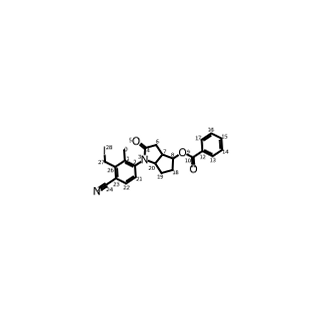 Cc1c(N2C(=O)CC3C(OC(=O)c4ccccc4)CCC32)ccc(C#N)c1CI